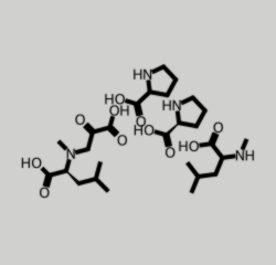 CC(C)C[C@@H](C(=O)O)N(C)CC(=O)C(=O)O.CNC(CC(C)C)C(=O)O.O=C(O)C1CCCN1.O=C(O)[C@@H]1CCCN1